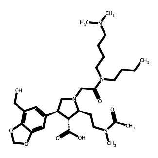 CCCCN(CCCCN(C)C)C(=O)CN1C[C@H](c2cc(CO)c3c(c2)OCO3)[C@@H](C(=O)O)[C@@H]1CCN(C)C(C)=O